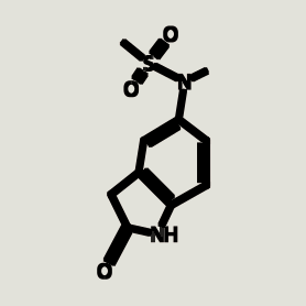 CN(c1ccc2c(c1)CC(=O)N2)S(C)(=O)=O